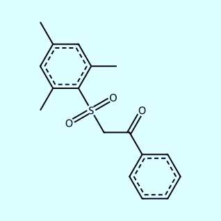 Cc1cc(C)c(S(=O)(=O)CC(=O)c2ccccc2)c(C)c1